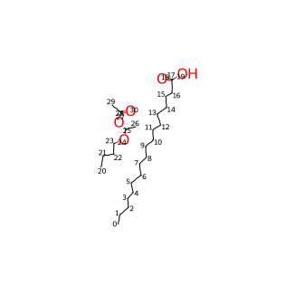 CCCCCCCCCCCCCCCCCC(=O)O.CCCCOC(C)OC(C)=O